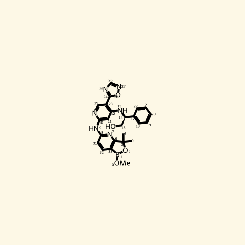 COB1OC(C)(C)c2nc(Nc3cc(N[C@H](CO)c4ccccc4)c(-c4ncno4)cn3)ccc21